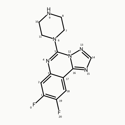 Fc1cc2nc(N3CCNCC3)n3ncnc3c2cc1F